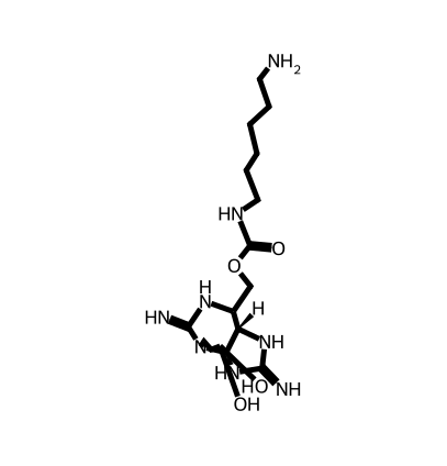 N=C1N[C@H]2C(COC(=O)NCCCCCCN)NC(=N)N3CCC(O)(O)[C@]23N1